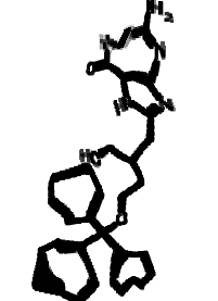 Nc1nc2nc(CC(CO)CCOC(c3ccccc3)(c3ccccc3)c3ccccc3)[nH]c2c(=O)[nH]1